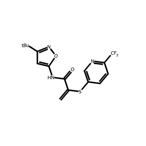 C=C(Sc1ccc(C(F)(F)F)nc1)C(=O)Nc1cc(C(C)(C)C)no1